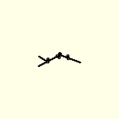 CCCCCCCCCCCOC(=O)CCCCCN1CCC[C@H]1C(=O)OCCCCCCCC(=O)OC(CCCCCCCC)CCCCCCCC